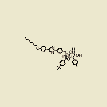 CCCCCCCOc1ccc(-c2cnc(-c3ccc(C[C@H](NC(=O)c4ccc(C(C)(C)C)cc4)C(=O)NC(c4ccc(C)cc4)C(O)O)cc3)nc2)cc1